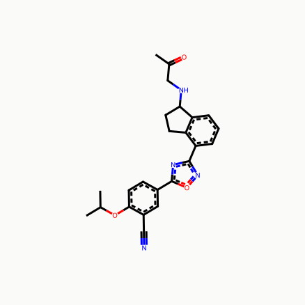 CC(=O)CNC1CCc2c(-c3noc(-c4ccc(OC(C)C)c(C#N)c4)n3)cccc21